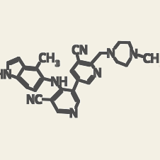 Cc1c(Nc2c(C#N)cncc2-c2cnc(CN3CCN(C)CC3)c(C#N)c2)ccc2[nH]ccc12